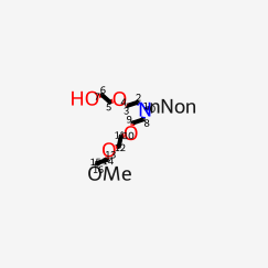 CCCCCCCCCN(CCOCCO)CCOCCOCCOC